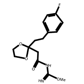 COC(=N)NC(=O)CC1(CCc2ccc(F)cc2)OCCO1